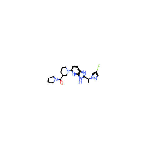 CC(c1nc2ccc(N3CCCC(C(=O)N4CCCC4)C3)nc2[nH]1)n1cc(F)cn1